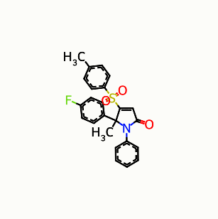 Cc1ccc(S(=O)(=O)C2=CC(=O)N(c3ccccc3)C2(C)c2ccc(F)cc2)cc1